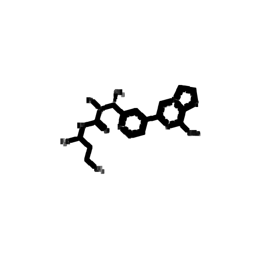 CCN(C(=O)NC(CCC(F)(F)F)C(F)(F)F)[C@H](C)c1cc(-c2cn3ccnc3c(OC)n2)ccn1